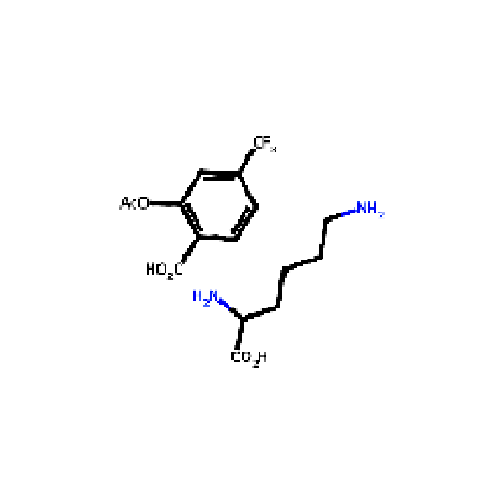 CC(=O)Oc1cc(C(F)(F)F)ccc1C(=O)O.NCCCCC(N)C(=O)O